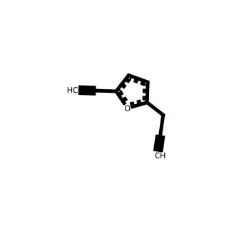 C#C[CH]c1ccc(C#C)o1